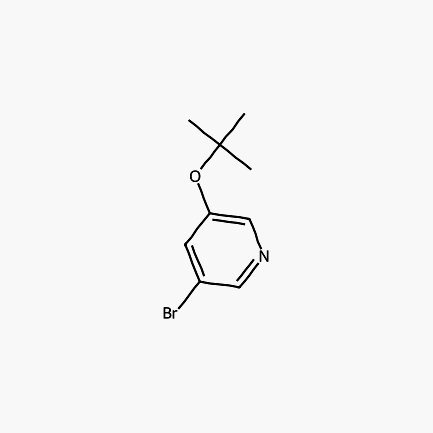 CC(C)(C)Oc1cncc(Br)c1